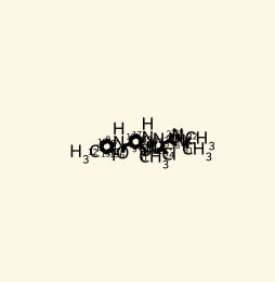 COc1cc(C(=O)Nc2ccc(C)cc2F)ccc1Nc1ncc(Cl)c(-c2cnn(C(C)C)c2)n1